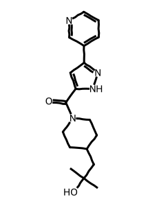 CC(C)(O)CC1CCN(C(=O)c2cc(-c3cccnc3)n[nH]2)CC1